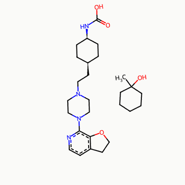 CC1(O)CCCCC1.O=C(O)N[C@H]1CC[C@@H](CCN2CCN(c3nccc4c3OCC4)CC2)CC1